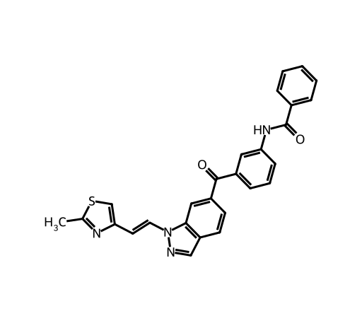 Cc1nc(C=Cn2ncc3ccc(C(=O)c4cccc(NC(=O)c5ccccc5)c4)cc32)cs1